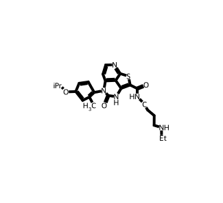 CCNCCCCNC(=O)c1sc2nccc3c2c1NC(=O)N3c1ccc(OC(C)C)cc1C